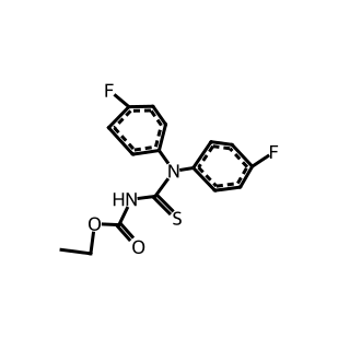 CCOC(=O)NC(=S)N(c1ccc(F)cc1)c1ccc(F)cc1